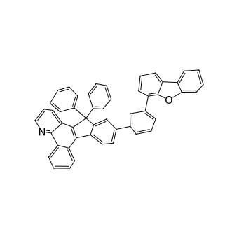 c1ccc(C2(c3ccccc3)c3cc(-c4cccc(-c5cccc6c5oc5ccccc56)c4)ccc3-c3c2c2cccnc2c2ccccc32)cc1